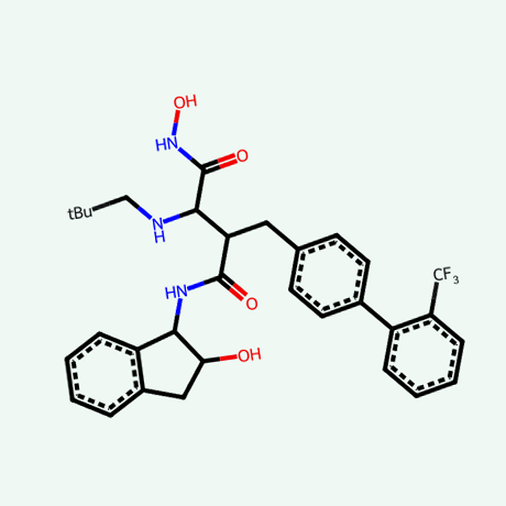 CC(C)(C)CNC(C(=O)NO)C(Cc1ccc(-c2ccccc2C(F)(F)F)cc1)C(=O)NC1c2ccccc2CC1O